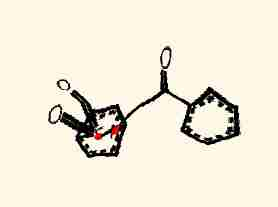 O=C(c1ccccc1)N1CCS(=O)(=O)c2ccc1cc2